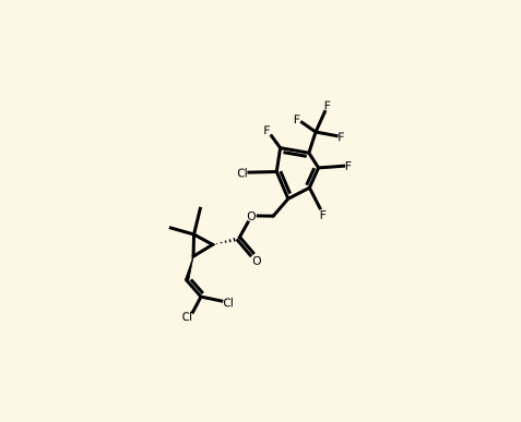 CC1(C)[C@H](C=C(Cl)Cl)[C@H]1C(=O)OCc1c(F)c(F)c(C(F)(F)F)c(F)c1Cl